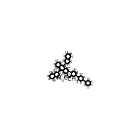 C[Si]1(C)c2cc(-c3ccc(-c4ccccc4)cc3)ccc2-c2cc3c(-c4ccc5ccccc5c4)c4ccccc4c(-c4ccc5ccccc5c4)c3cc21